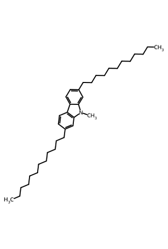 CCCCCCCCCCCCc1ccc2c3ccc(CCCCCCCCCCCC)cc3n(C)c2c1